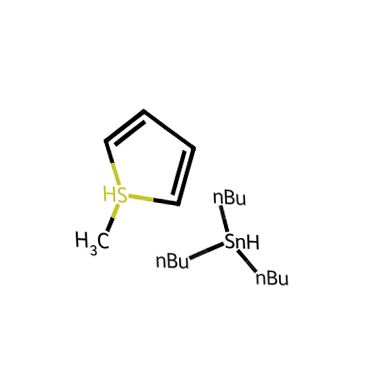 CCC[CH2][SnH]([CH2]CCC)[CH2]CCC.C[SH]1C=CC=C1